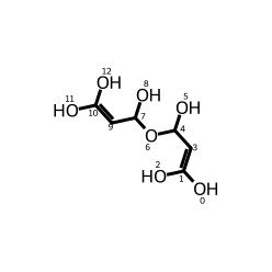 OC(O)=CC(O)OC(O)C=C(O)O